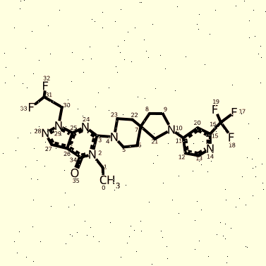 CCn1c(N2CCC3(CCN(c4ccnc(C(F)(F)F)c4)C3)CC2)nc2c(cnn2CC(F)F)c1=O